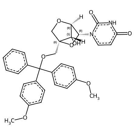 COc1ccc(C(OC[C@@]23CO[C@@H]([C@H](n4ccc(=O)[nH]c4=O)O2)[C@@H]3O)(c2ccccc2)c2ccc(OC)cc2)cc1